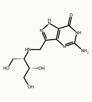 Nc1nc2c(CN[C@@H](CO)[C@H](O)CO)n[nH]c2c(=O)[nH]1